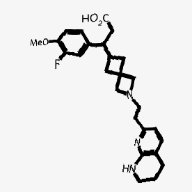 COc1ccc(C(CC(=O)O)C2CC3(C2)CN(CCc2ccc4c(n2)NCCC4)C3)cc1F